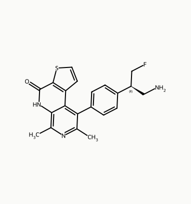 Cc1nc(C)c2[nH]c(=O)c3sccc3c2c1-c1ccc([C@H](CN)CF)cc1